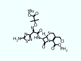 CC(C)(C)OC(=O)C(C)(C)O/N=C(\C(=O)N[C@@H]1C(=O)N2C(C(=O)OP)=C(CCl)CS[C@H]12)c1nsc(N)n1